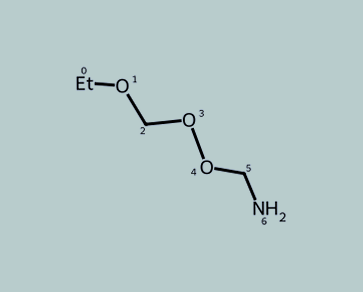 CCOCOOCN